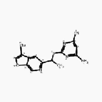 CC(Sc1nc(N)cc(C#N)n1)c1cc2c(C(C)(C)C)coc2cn1